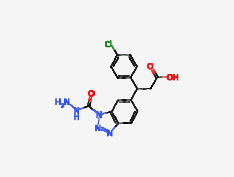 NNC(=O)n1nnc2ccc(C(CC(=O)O)c3ccc(Cl)cc3)cc21